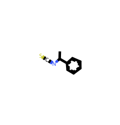 CC(N=C=S)c1ccccc1